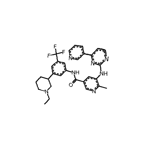 CCN1CCCC(c2cc(NC(=O)c3cnc(C)c(Nc4nccc(-c5cccnc5)n4)c3)cc(C(F)(F)F)c2)C1